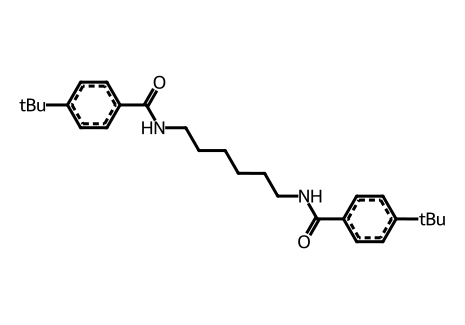 CC(C)(C)c1ccc(C(=O)NCCCCCCNC(=O)c2ccc(C(C)(C)C)cc2)cc1